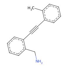 Cc1ccccc1C#Cc1ccccc1CN